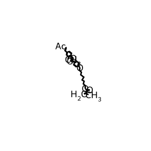 C=C(C)C(=O)OCCCCCCCCOc1ccc(C(=O)Oc2ccc(/C=C/C(C)=O)cc2C)cc1